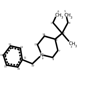 CCC(C)(CC)C1CCN(Cc2ccccc2)CC1